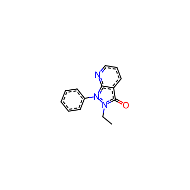 CCn1c(=O)c2cccnc2n1-c1ccccc1